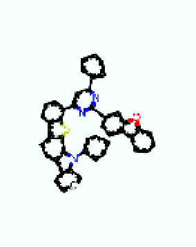 c1ccc(-c2cc(-c3cccc4c3sc3c4ccc4c5ccccc5n(-c5ccccc5)c43)nc(-c3ccc4c(c3)oc3ccccc34)n2)cc1